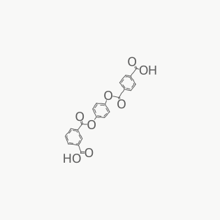 O=C(O)c1ccc(C(=O)Oc2ccc(OC(=O)c3cccc(C(=O)O)c3)cc2)cc1